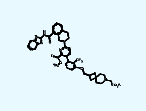 CC(C)(C)OC(=O)c1nc(N2CCc3cccc(C(=O)Nc4nc5ccccc5s4)c3C2)ccc1-c1cccc(OCC2CC3(CCN(CC(=O)O)CC3)C2)c1C(F)(F)F